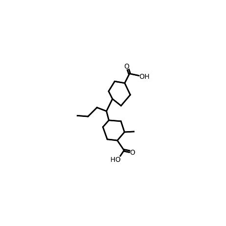 CCCC(C1CCC(C(=O)O)CC1)C1CCC(C(=O)O)C(C)C1